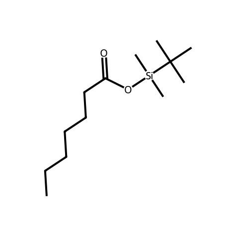 CCCCCCC(=O)O[Si](C)(C)C(C)(C)C